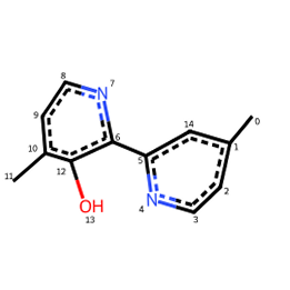 Cc1ccnc(-c2nccc(C)c2O)c1